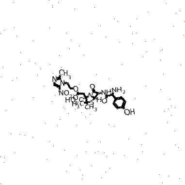 Cc1ncc([N+](=O)[O-])n1CCOC(=O)C[C@@]1(C(=O)O)N2C(=O)[C@@H](NC(=O)C(N)c3ccc(O)cc3)[C@H]2SC1(C)C